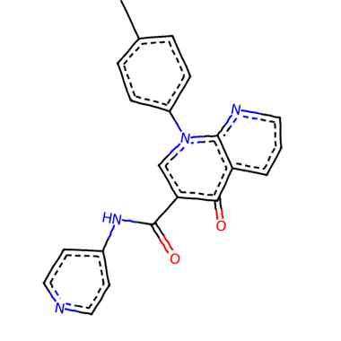 Cc1ccc(-n2cc(C(=O)Nc3ccncc3)c(=O)c3cccnc32)cc1